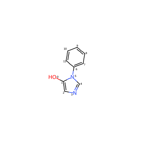 Oc1cncn1-c1ccccc1